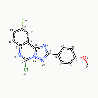 COc1ccc(-c2nc3c4cc(F)ccc4nc(Cl)n3n2)cc1